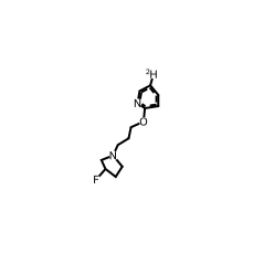 [2H]c1ccc(OCCCN2CCC(F)C2)nc1